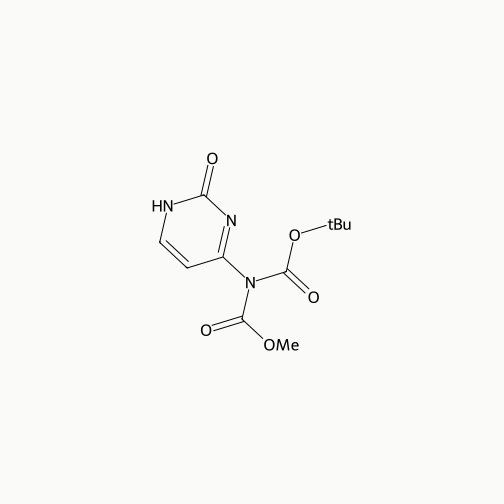 COC(=O)N(C(=O)OC(C)(C)C)c1cc[nH]c(=O)n1